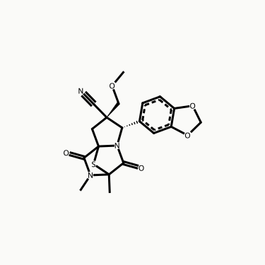 COC[C@]1(C#N)CC23SC(C)(C(=O)N2[C@H]1c1ccc2c(c1)OCO2)N(C)C3=O